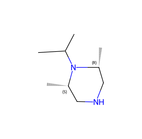 CC(C)N1[C@H](C)CNC[C@@H]1C